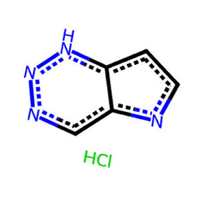 Cl.c1cc2[nH]nncc-2n1